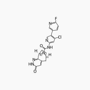 O=C(Nc1cc(Cl)c(-c2ccc(F)nc2)cn1)N1[C@H]2CC[C@@H]1c1n[nH]c(=O)cc1C2